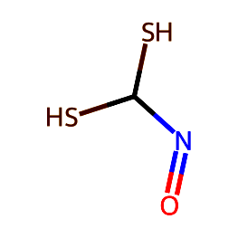 O=NC(S)S